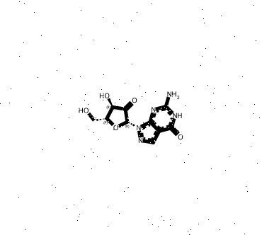 Nc1nc2c(cnn2[C@@H]2O[C@H](CO)[C@@H](O)C2=O)c(=O)[nH]1